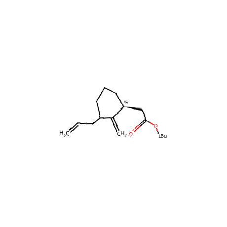 C=CCC1CCC[C@@H](CC(=O)OC(C)(C)C)C1=C